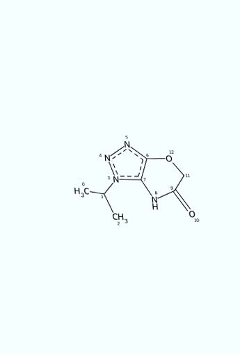 CC(C)n1nnc2c1NC(=O)CO2